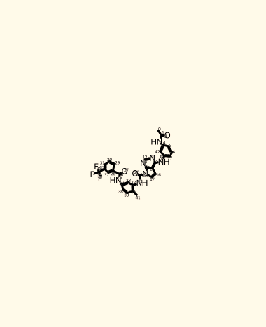 CC(=O)Nc1cccc(Nc2ncnc3c2ccn3C(=O)Nc2cc(NC(=O)c3cccc(C(F)(F)F)c3)ccc2C)c1